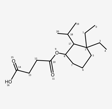 CCC1(CC)CCCC(OC(=O)CCC(=O)O)C1C(C)C